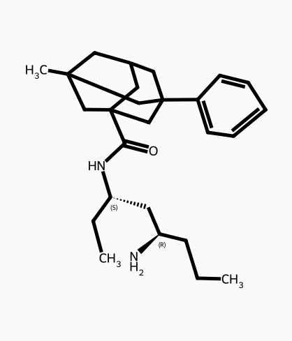 CCC[C@@H](N)C[C@H](CC)NC(=O)C12CC3CC(C)(C1)CC(c1ccccc1)(C3)C2